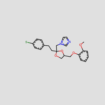 COc1ccccc1OCC1COC(CCc2ccc(F)cc2)(Cn2ccnc2)O1